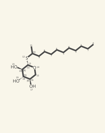 CCCCCCCCCCC(C)S[C@@H]1OC[C@@H](O)[C@H](O)[C@H]1O